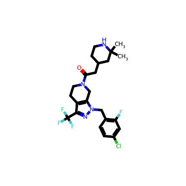 CC1(C)CC(CC(=O)N2CCc3c(C(F)(F)F)nn(Cc4ccc(Cl)cc4F)c3C2)CCN1